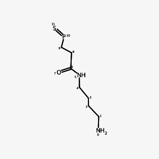 NCCCCNC(=O)CCP=S